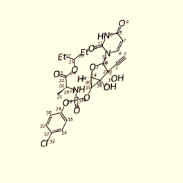 C#C[C@]1(O)[C@H](n2ccc(=O)[nH]c2=O)O[C@@H]2C(OP(=O)(N[C@@H](C)C(=O)OC(CC)CC)Oc3ccc(Cl)cc3)[C@@]21O